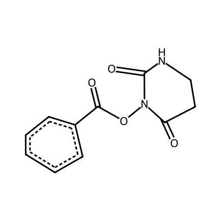 O=C(ON1C(=O)CCNC1=O)c1ccccc1